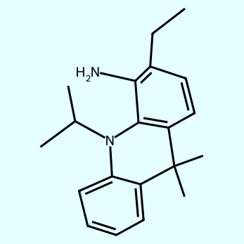 CCc1ccc2c(c1N)N(C(C)C)c1ccccc1C2(C)C